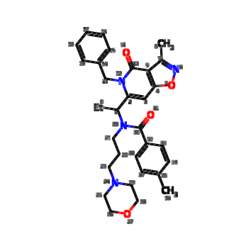 CCC(c1cc2onc(C)c2c(=O)n1Cc1ccccc1)N(CCCN1CCOCC1)C(=O)c1ccc(C)cc1